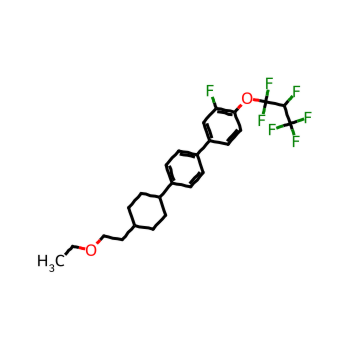 CCOCCC1CCC(c2ccc(-c3ccc(OC(F)(F)C(F)C(F)(F)F)c(F)c3)cc2)CC1